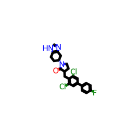 O=C1C(Cc2c(Cl)cc(-c3ccc(F)cc3)cc2Cl)CCN1C1CCc2[nH]cnc2C1